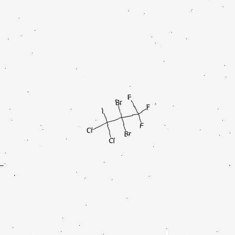 FC(F)(F)C(Br)(Br)C(Cl)(Cl)I